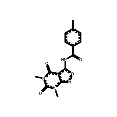 Cc1ccc(C(=O)Nc2onc3c2c(=O)n(C)c(=O)n3C)cc1